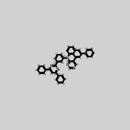 c1ccc(-c2cc3c4c(cccc4c2)N(c2cccc(-c4nc(-c5ccccc5)cc(-c5ccccc5)n4)c2)c2ncncc2-3)cc1